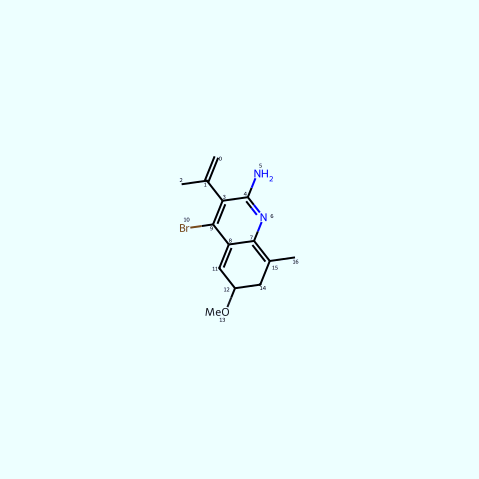 C=C(C)c1c(N)nc2c(c1Br)=CC(OC)CC=2C